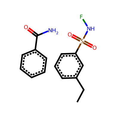 CCc1cccc(S(=O)(=O)NF)c1.NC(=O)c1ccccc1